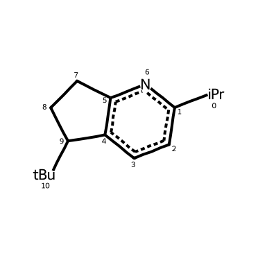 CC(C)c1ccc2c(n1)CCC2C(C)(C)C